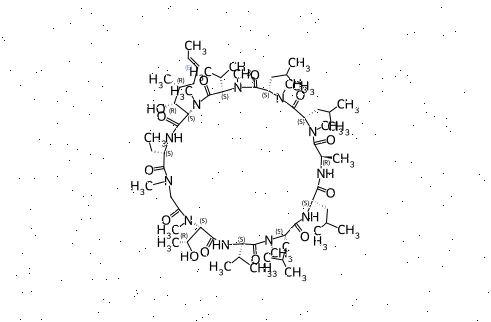 C/C=C/C[C@@H](C)[C@@H](O)[C@H]1C(=O)N[C@@H](CC)C(=O)N(C)CC(=O)N(C)[C@@H]([C@@H](C)O)C(=O)N[C@@H](C(C)C)C(=O)N(C)[C@@H](CC(C)C)C(=O)N[C@@H](CC(C)C)C(=O)N[C@H](C)C(=O)N(C)[C@@H](CC(C)C)C(=O)N(C)[C@@H](CC(C)C)C(=O)N(C)[C@@H](C(C)C)C(=O)N1C